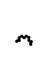 c1cc(-c2cccc(-c3cccc4c3oc3ccccc34)c2)cc(-c2ccnc(-c3cc(-c4cccc(-c5cccc(-c6cccc7c6oc6ccccc67)c5)c4)ccn3)c2)c1